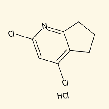 Cl.Clc1cc(Cl)c2c(n1)CCC2